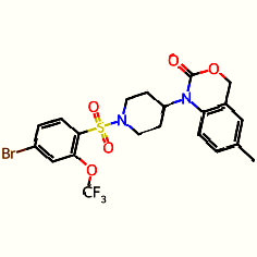 Cc1ccc2c(c1)COC(=O)N2C1CCN(S(=O)(=O)c2ccc(Br)cc2OC(F)(F)F)CC1